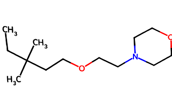 CCC(C)(C)CCOCCN1CCOCC1